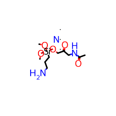 CO[Si](CCCN)(OC)OCC(=O)CNC(C)=O.[N]